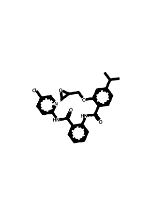 CC(C)c1ccc(C(=O)Nc2ccccc2C(=O)Nc2ccc(Cl)cn2)c(OCC2CO2)c1